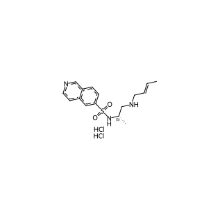 CC=CCNC[C@H](C)NS(=O)(=O)c1ccc2cnccc2c1.Cl.Cl